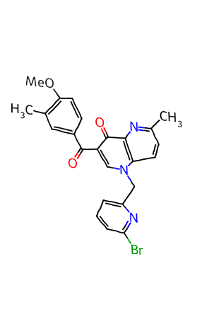 COc1ccc(C(=O)c2cn(Cc3cccc(Br)n3)c3ccc(C)nc3c2=O)cc1C